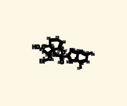 CCOC(C)C1(NS(=O)(=O)c2nc3nc(C)cc(C)n3n2)C(C)=CC=CC1C(=O)O